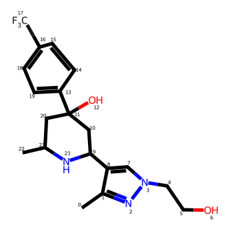 Cc1nn(CCO)cc1C1CC(O)(c2ccc(C(F)(F)F)cc2)CC(C)N1